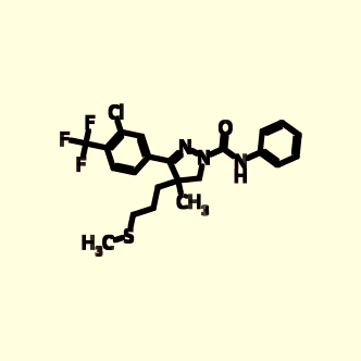 CSCCCC1(C)CN(C(=O)Nc2ccccc2)N=C1c1ccc(C(F)(F)F)c(Cl)c1